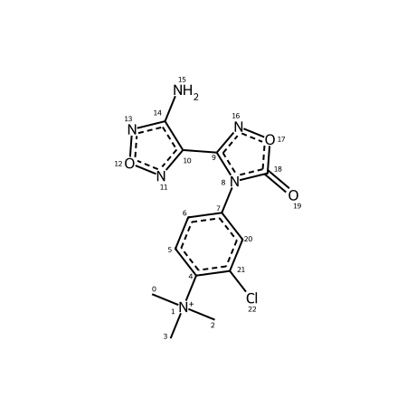 C[N+](C)(C)c1ccc(-n2c(-c3nonc3N)noc2=O)cc1Cl